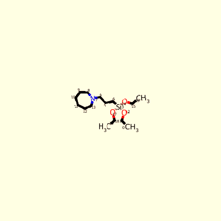 CCO[Si](CCCN1CCCCCC1)(OCC)OCC